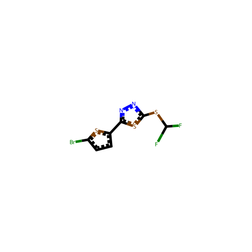 FC(F)Sc1nnc(-c2ccc(Br)s2)s1